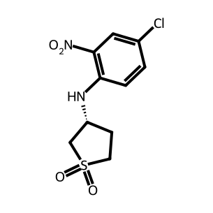 O=[N+]([O-])c1cc(Cl)ccc1N[C@@H]1CCS(=O)(=O)C1